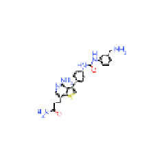 NCc1cccc(NC(=O)Nc2ccc(-c3csc4c(CCC(N)=O)cnc(N)c34)cc2)c1